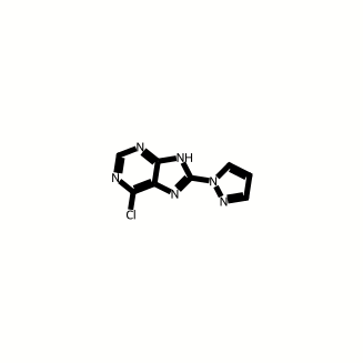 Clc1ncnc2[nH]c(-n3cccn3)nc12